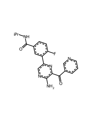 CC(C)NC(=O)c1ccc(F)c(-c2cnc(N)c(C(=O)c3cccnc3)n2)c1